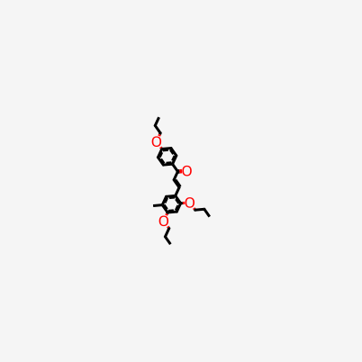 CCCOc1ccc(C(=O)C=Cc2cc(C)c(OCCC)cc2OCCC)cc1